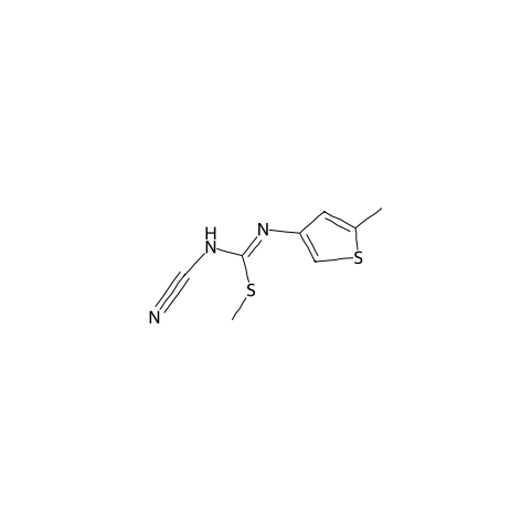 CS/C(=N\c1csc(C)c1)NC#N